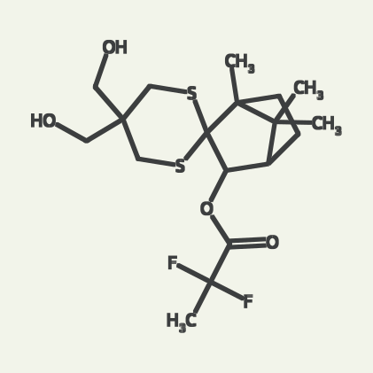 CC(F)(F)C(=O)OC1C2CCC(C)(C2(C)C)C12SCC(CO)(CO)CS2